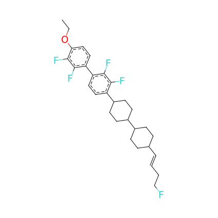 CCOc1ccc(-c2ccc(C3CCC(C4CCC(/C=C/CCF)CC4)CC3)c(F)c2F)c(F)c1F